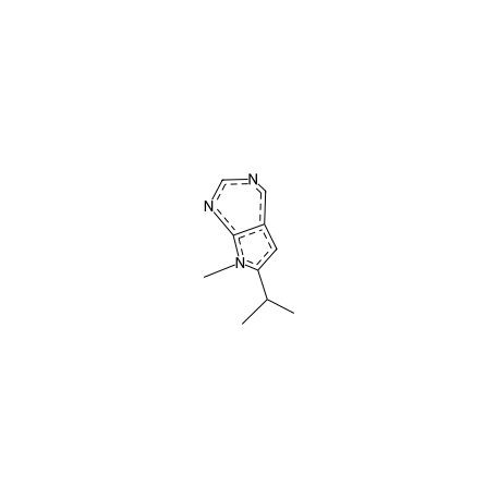 CC(C)c1cc2cncnc2n1C